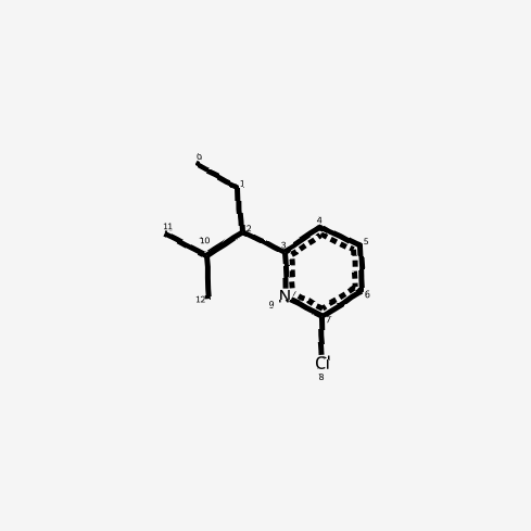 CCC(c1cccc(Cl)n1)C(C)C